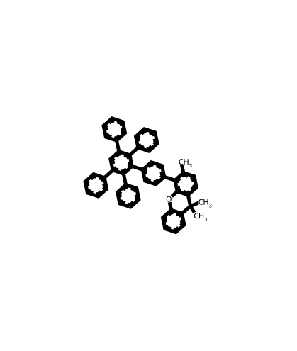 Cc1ccc2c(c1-c1ccc(-c3c(-c4ccccc4)c(-c4ccccc4)cc(-c4ccccc4)c3-c3ccccc3)cc1)Oc1ccccc1C2(C)C